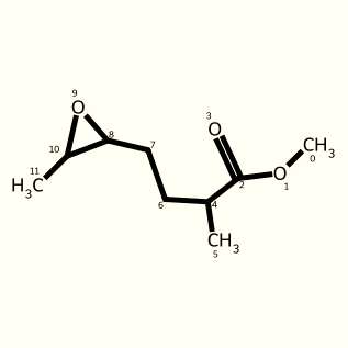 COC(=O)C(C)CCC1OC1C